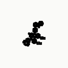 Cc1cc2c3c(c1)N(c1ccc4c(c1)C(C)(C)CCC4(C)C)c1ccc(C(C)(C)C)cc1B3c1cc(C(C)(C)C)ccc1N2c1ccc(-c2cccc3c2sc2ccccc23)cc1